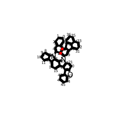 c1ccc2cc(-n3c4ccccc4c4ccc5c6c7c(ccc6n(-c6ccc8c(c6)-c6cccc9cccc-8c69)c5c43)oc3ccccc37)ccc2c1